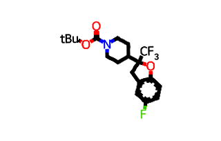 CC(C)(C)OC(=O)N1CCC(C2(C(F)(F)F)Cc3cc(F)ccc3O2)CC1